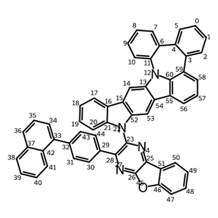 c1ccc2c(c1)-c1ccccc1-n1c3cc4c5ccccc5n(-c5nc6c(nc5-c5ccc(-c7cccc8ccccc78)cc5)oc5ccccc56)c4cc3c3cccc-2c31